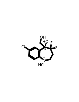 Cl.OC[C@@]1(O)c2cc(Cl)ccc2NCCC1(F)F